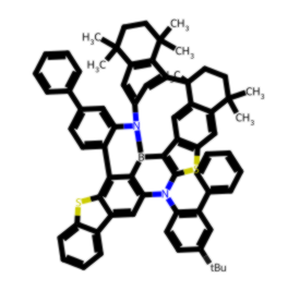 CC(C)(C)c1ccc(N2c3cc4c(sc5ccccc54)c4c3B3c5c2sc2cc6c(cc52)C(C)(CCC6(C)C)c2cc(cc5c2C(C)(C)CCC5(C)C)N3c2cc(-c3ccccc3)ccc2-4)c(-c2ccccc2)c1